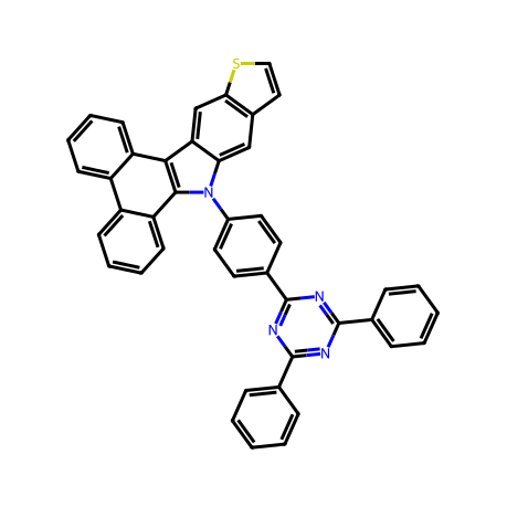 c1ccc(-c2nc(-c3ccccc3)nc(-c3ccc(-n4c5cc6ccsc6cc5c5c6ccccc6c6ccccc6c54)cc3)n2)cc1